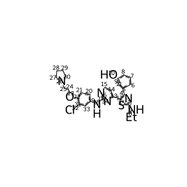 CCNc1nc(-c2cccc(O)c2)c(-c2ccnc(Nc3ccc(OCCN4CCCC4)c(Cl)c3)n2)s1